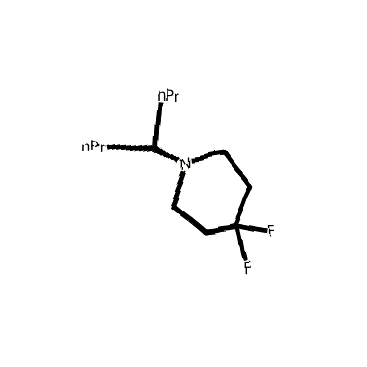 CCCC(CCC)N1CCC(F)(F)CC1